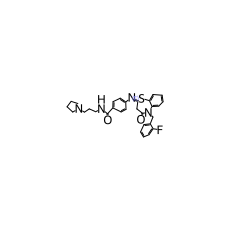 O=C(NCCCN1CCCC1)c1ccc(/N=C2\CC(=O)N(Cc3ccccc3F)c3ccccc3S2)cc1